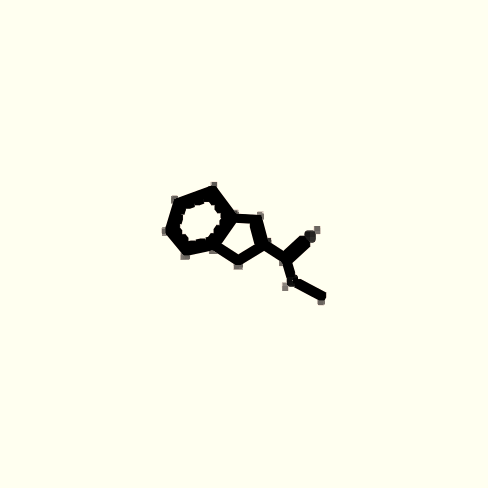 COC(=O)C1=Cc2ccccc2C1